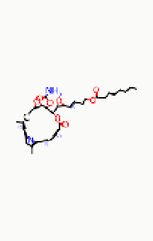 CCCCCCCC(=O)OCC/C=C/C1OC1C1OC(=O)/C=C\C=C\C2=C(C)CC(=N2)/C=C(/C)CCC2OC2C1OC(N)=O